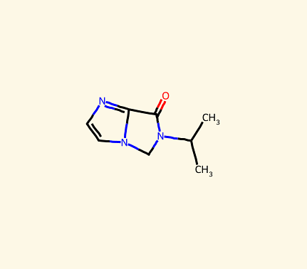 CC(C)N1Cn2ccnc2C1=O